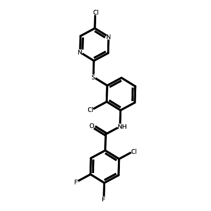 O=C(Nc1cccc(Sc2cnc(Cl)cn2)c1Cl)c1cc(F)c(F)cc1Cl